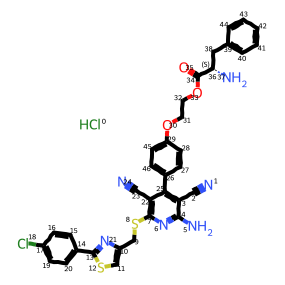 Cl.N#Cc1c(N)nc(SCc2csc(-c3ccc(Cl)cc3)n2)c(C#N)c1-c1ccc(OCCOC(=O)[C@@H](N)Cc2ccccc2)cc1